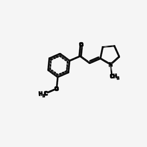 COc1cccc(C(=O)/C=C2\CCCN2C)c1